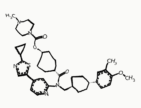 COc1ccc([C@H]2CC[C@H](CN(c3cc(-c4cnc(C5CC5)s4)ccn3)C(=O)[C@H]3CC[C@H](OC(=O)N4CCN(C)CC4)CC3)CC2)cc1C